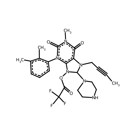 CC#CCN1c2c(n(-c3cccc(C)c3C)c(=O)n(C)c2=O)N(OC(=O)C(F)(F)F)C1N1CCNCC1